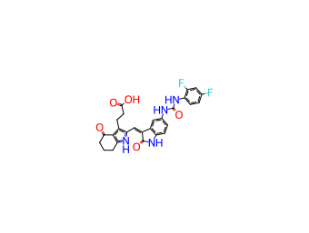 O=C(O)CCc1c(C=C2C(=O)Nc3ccc(NC(=O)Nc4ccc(F)cc4F)cc32)[nH]c2c1C(=O)CCC2